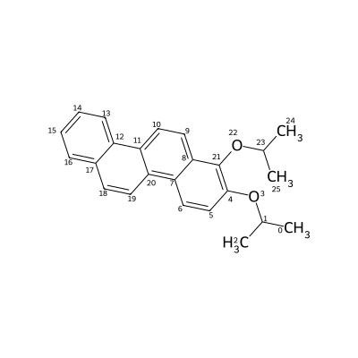 CC(C)Oc1ccc2c(ccc3c4ccccc4ccc23)c1OC(C)C